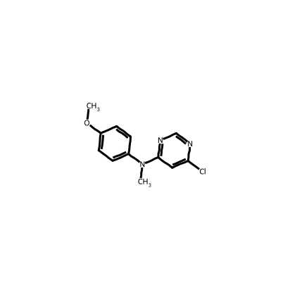 COc1ccc(N(C)c2cc(Cl)ncn2)cc1